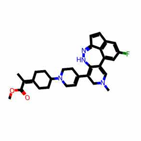 COC(=O)C(C)=C1CCC(N2CC=C(C3=C4NN=C5C=Cc6cc(F)cc(c65)C4=CN(C)C3)CC2)CC1